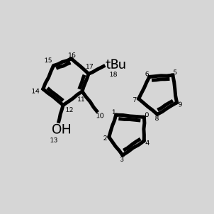 C1=CCC=C1.C1=CCC=C1.Cc1c(O)cccc1C(C)(C)C